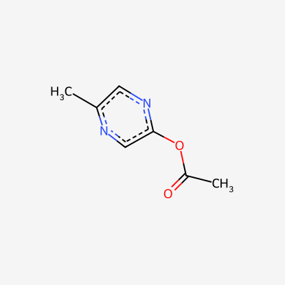 CC(=O)Oc1cnc(C)cn1